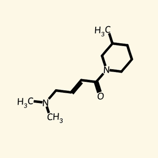 CC1CCCN(C(=O)/C=C/CN(C)C)C1